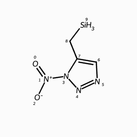 O=[N+]([O-])n1nncc1C[SiH3]